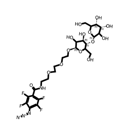 [N-]=[N+]=Nc1c(F)c(F)c(C(=O)NCCOCCOCCO[C@@H]2OC(CO)[C@@H](O[C@@H]3OC(CO)[C@H](O)[C@H](O)C3O)[C@H](O)C2O)c(F)c1F